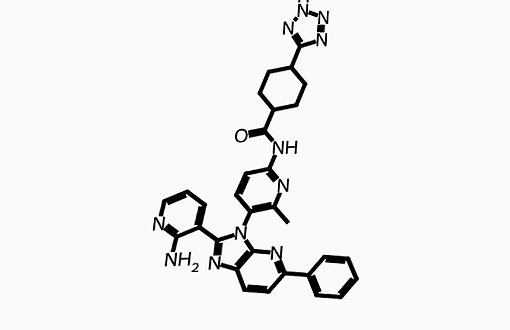 Cc1nc(NC(=O)C2CCC(c3nn[nH]n3)CC2)ccc1-n1c(-c2cccnc2N)nc2ccc(-c3ccccc3)nc21